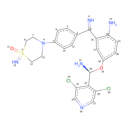 N=C(c1ccc(N2CCS(=N)(=O)CC2)cc1)c1cc(O[C@H](N)c2c(Cl)cncc2Cl)ccc1N